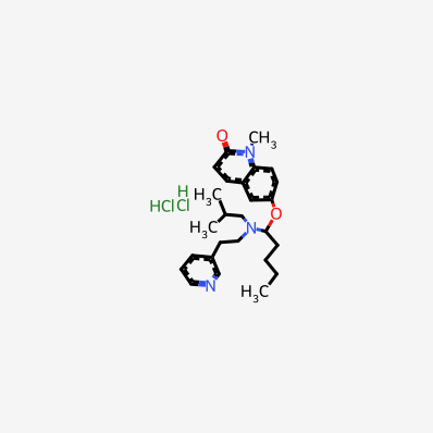 CCCCC(Oc1ccc2c(ccc(=O)n2C)c1)N(CCc1cccnc1)CC(C)C.Cl.Cl